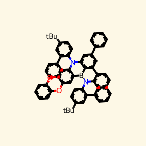 CC(C)(C)c1ccc(N2B3c4cc5c(cc4N(c4ccc(C(C)(C)C)cc4-c4ccccc4)c4cc(-c6ccccc6)cc(c43)-c3ccccc32)Oc2ccccc2O5)c(-c2ccccc2)c1